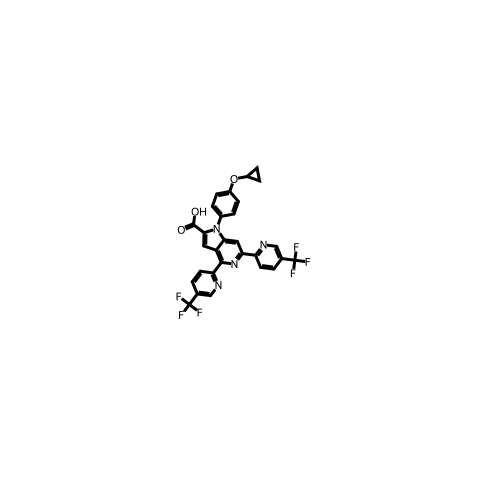 O=C(O)c1cc2c(-c3ccc(C(F)(F)F)cn3)nc(-c3ccc(C(F)(F)F)cn3)cc2n1-c1ccc(OC2CC2)cc1